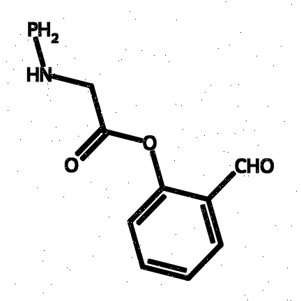 O=Cc1ccccc1OC(=O)CNP